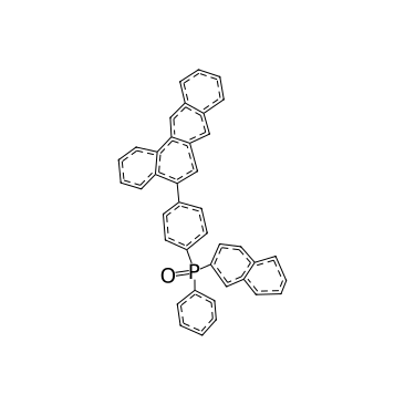 O=P(c1ccccc1)(c1ccc(-c2cc3cc4ccccc4cc3c3ccccc23)cc1)c1ccc2ccccc2c1